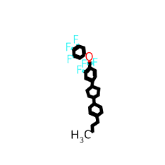 CCCCC1=CCC(C2CCC(c3ccc(C(F)(F)Oc4cc(F)c(F)c(F)c4)c(F)c3)CC2)CC1